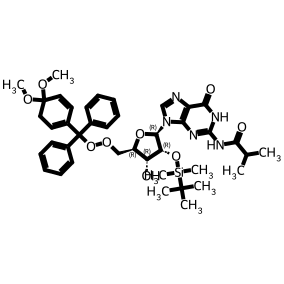 COC1(OC)C=CC(C(OOC[C@H]2O[C@@H](n3cnc4c(=O)[nH]c(NC(=O)C(C)C)nc43)[C@H](O[Si](C)(C)C(C)(C)C)[C@@H]2O)(c2ccccc2)c2ccccc2)=CC1